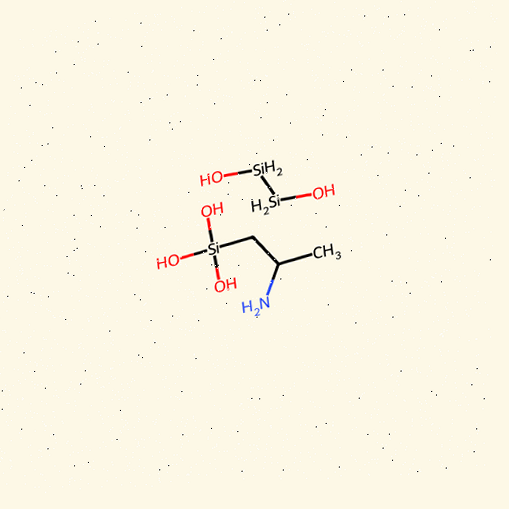 CC(N)C[Si](O)(O)O.O[SiH2][SiH2]O